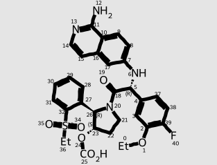 CCOc1cc([C@@H](Nc2ccc3c(N)nccc3c2)C(=O)N2CC[C@H](OC(=O)O)[C@H]2c2ccccc2S(=O)(=O)CC)ccc1F